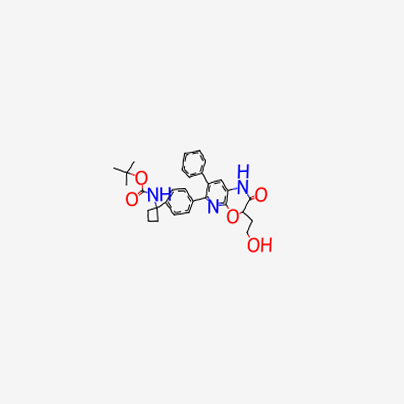 CC(C)(C)OC(=O)NC1(c2ccc(-c3nc4c(cc3-c3ccccc3)NC(=O)C(CCO)O4)cc2)CCC1